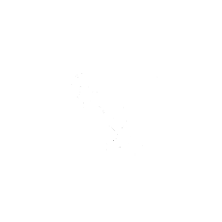 CCCCCCSc1cc2c(cc1C#Cc1ccc(CC(=O)O)nn1)C(C)(C)CC(C)(C)O2